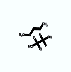 CC=COC.OC(F)(F)C(O)(F)Cl